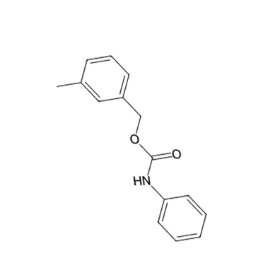 Cc1cccc(COC(=O)Nc2ccccc2)c1